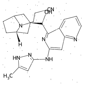 Cc1cc(Nc2cc3ncccc3c(C(O)[C@@H]3CC4CC[C@@H](C3)N4CCC#N)n2)n[nH]1